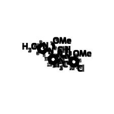 COCCN(c1ccc(C)cn1)c1cccc2nc(Nc3c(C)cc(Cl)cc3OC)n(C)c12